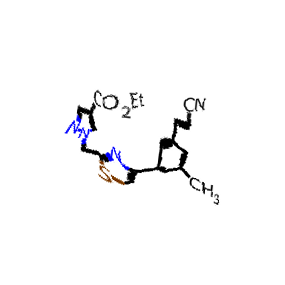 CCOC(=O)c1cnn(Cc2nc(-c3cc(C)cc(C=CC#N)c3)cs2)c1